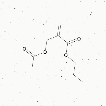 C=C(COC(C)=O)C(=O)OCCC